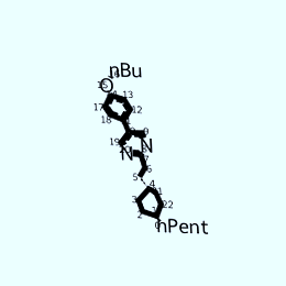 CCCCC[C@H]1CC[C@H](CCc2ncc(-c3ccc(OCCCC)cc3)cn2)CC1